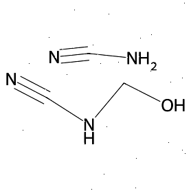 N#CN.N#CNCO